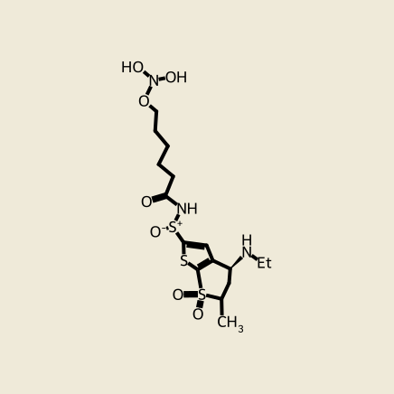 CCN[C@H]1CC(C)S(=O)(=O)c2sc([S+]([O-])NC(=O)CCCCCON(O)O)cc21